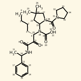 CCCC[C@@H](C(=O)C(=O)NC(C)c1ccccc1)N(C(=O)O)C1CC(C)(C)CN1C(=O)N1CCCC1